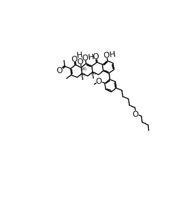 CCCCOCCCCCc1ccc(OC)c(-c2ccc(O)c3c2C[C@]2(C)C[C@]4(C)CC(C)=C(C(C)=O)C(=O)[C@]4(O)C(O)=C2C3=O)c1